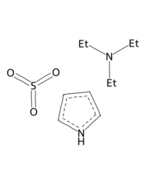 CCN(CC)CC.O=S(=O)=O.c1cc[nH]c1